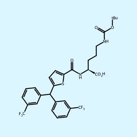 CC(C)(C)OC(=O)NCCC[C@H](NC(=O)c1ccc(C(c2cccc(C(F)(F)F)c2)c2cccc(C(F)(F)F)c2)s1)C(=O)O